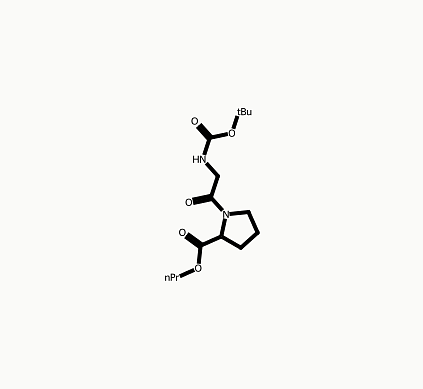 CCCOC(=O)C1CCCN1C(=O)CNC(=O)OC(C)(C)C